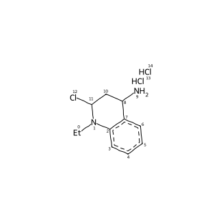 CCN1c2ccccc2C(N)CC1Cl.Cl.Cl